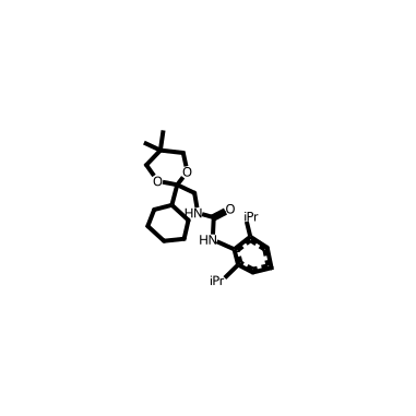 CC(C)c1cccc(C(C)C)c1NC(=O)NCC1(C2CCCCC2)OCC(C)(C)CO1